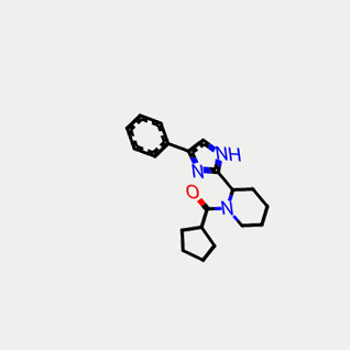 O=C(C1CCCC1)N1CCCCC1c1nc(-c2ccccc2)c[nH]1